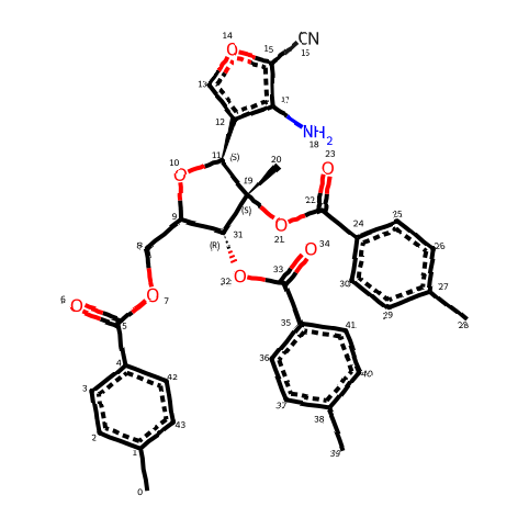 Cc1ccc(C(=O)OCC2O[C@@H](c3coc(C#N)c3N)[C@](C)(OC(=O)c3ccc(C)cc3)[C@@H]2OC(=O)c2ccc(C)cc2)cc1